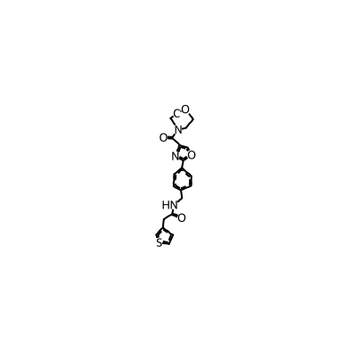 O=C(Cc1ccsc1)NCc1ccc(-c2nc(C(=O)N3CCOCC3)co2)cc1